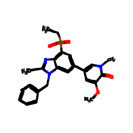 CCS(=O)(=O)c1cc(-c2cc(OC)c(=O)n(C)c2)cc2c1nc(C)n2Cc1ccccc1